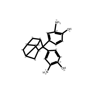 Nc1cc(C2(c3ccc(O)c(N)c3)C3CC4CC(C3)CC2C4)ccc1O